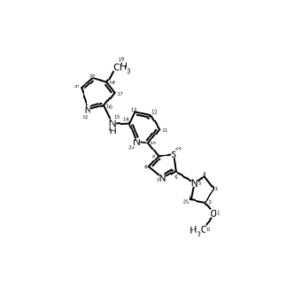 COC1CCN(c2ncc(-c3cccc(Nc4cc(C)ccn4)n3)s2)C1